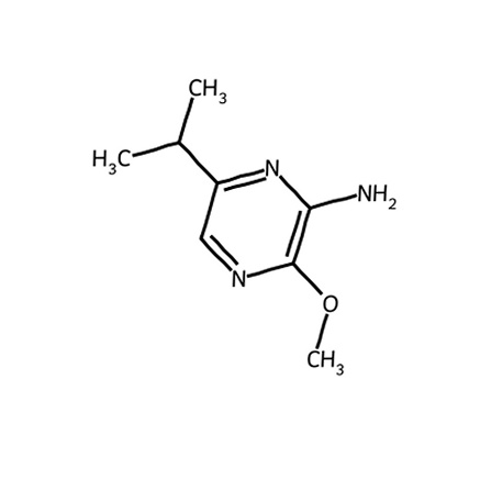 COc1ncc(C(C)C)nc1N